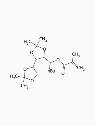 C=C(C)C(=O)OC(CCCC)C1OC(C)(C)OC1C1COC(C)(C)O1